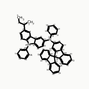 CCC(C)c1ccc2c(c1)c1cc(N(c3ccccc3)c3ccc4c(c3)C3(c5ccccc5-c5ccccc53)c3ccccc3-4)ccc1n2-c1ccccc1